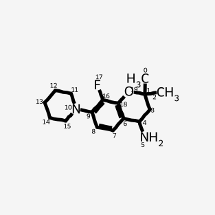 CC1(C)CC(N)c2ccc(N3CCCCC3)c(F)c2O1